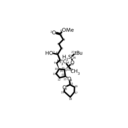 COC(=O)CCCC(O)CC[C@@H]1CC[C@H](OC2CCCCO2)[C@H]1C(C)(C)O[SiH2]C(C)(C)C